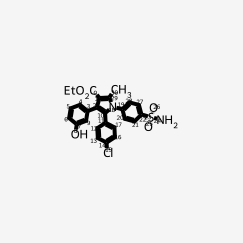 CCOC(=O)c1c(-c2cccc(O)c2)c(-c2ccc(Cl)cc2)n(-c2ccc(S(N)(=O)=O)cc2)c1C